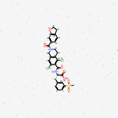 CS(=O)(=O)c1cccc(C[C@H](NC(=O)c2c(Cl)cc3c(c2Cl)CCN(C(=O)c2ccc4c(c2)OCC4)C3)C(=O)O)c1